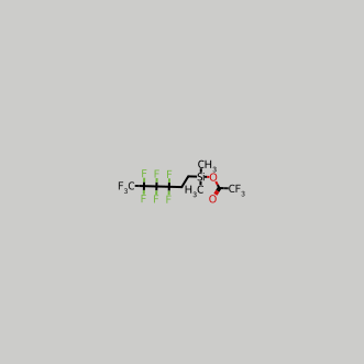 C[Si](C)(CCC(F)(F)C(F)(F)C(F)(F)C(F)(F)F)OC(=O)C(F)(F)F